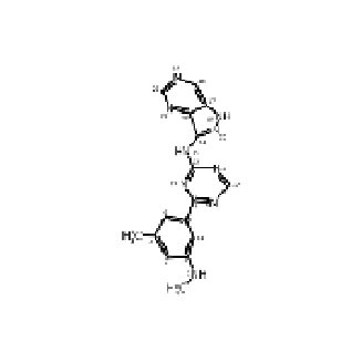 CNc1cc(C)cc(-c2ncnc(Nc3n[nH]c4cncnc34)n2)c1